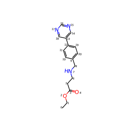 CCOC(=O)CCNCc1ccc(-c2cncnc2)cc1